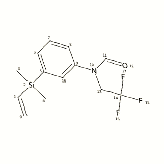 C=C[Si](C)(C)c1cccc(N(C=O)CC(F)(F)F)c1